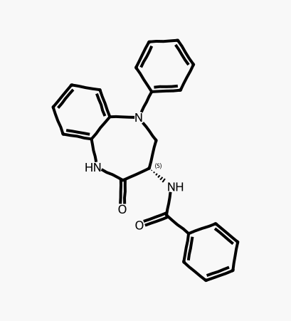 O=C(N[C@H]1CN(c2ccccc2)c2ccccc2NC1=O)c1ccccc1